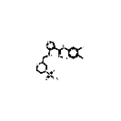 NS(=O)(=O)N1CCOC(CNc2nonc2C(=NO)Nc2ccc(F)c(Br)c2)C1